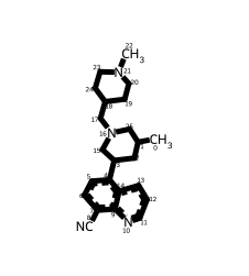 CC1CC(c2ccc(C#N)c3ncccc23)CN(CC2CCN(C)CC2)C1